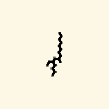 CCCCCCCCC(C)CC(CC)CCCC